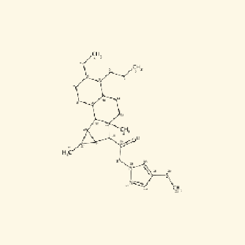 CCCC1C(CC)CCC2C1CCC1(C)C(C(=O)Cn3cc(SC)cn3)C3C(C)C3C21